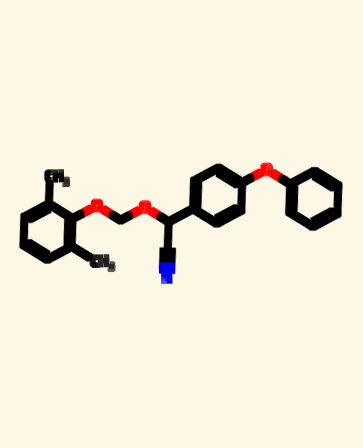 Cc1cccc(C)c1OCOC(C#N)c1ccc(Oc2ccccc2)cc1